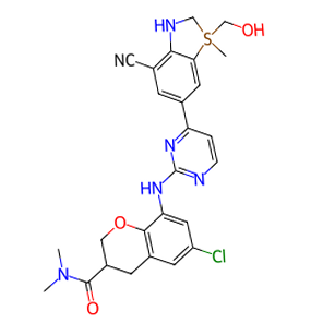 CN(C)C(=O)C1COc2c(cc(Cl)cc2Nc2nccc(-c3cc(C#N)c4c(c3)S(C)(CO)CN4)n2)C1